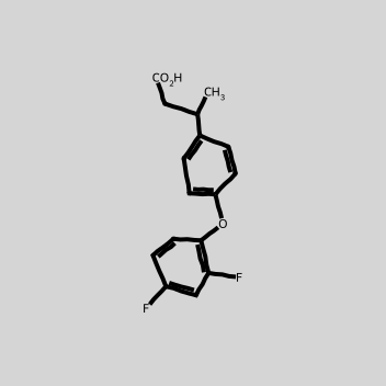 CC(CC(=O)O)c1ccc(Oc2ccc(F)cc2F)cc1